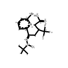 CC(C)(C)[S+]([O-])/N=C(\CC(CC(=O)O)C(F)(F)F)c1cccc(Br)n1